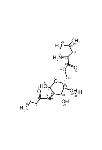 CCCC(=O)N[C@H]1C(O)O[C@H](COC(=O)[C@@H](N)CC(C)C)[C@@H](O)[C@@H]1O.Cl